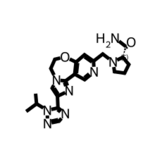 CC(C)n1ncnc1-c1cn2c(n1)-c1cnc(CN3CCC[C@H]3C(N)=O)cc1OCC2